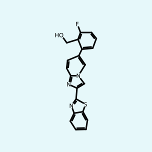 OCc1c(F)cccc1-c1ccc2nc(-c3nc4ccccc4s3)cn2c1